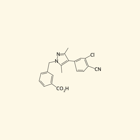 Cc1nn(Cc2cccc(C(=O)O)c2)c(C)c1-c1ccc(C#N)c(Cl)c1